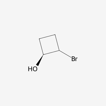 O[C@H]1CCC1Br